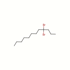 CCCCCCCCC(Br)(Br)CCC